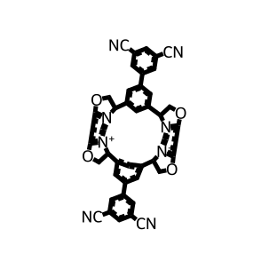 N#Cc1cc(C#N)cc(-c2cc3cc(c2)C2COc4c5[n+](cn42)C(CO5)c2cc(-c4cc(C#N)cc(C#N)c4)cc(c2)C2COc4c5n(c[n+]42)C3CO5)c1